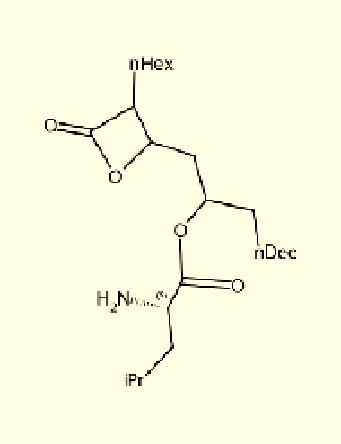 CCCCCCCCCCCC(CC1OC(=O)C1CCCCCC)OC(=O)[C@@H](N)CC(C)C